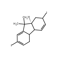 CC1(C)C2=CC(I)=CCC2C2C=CC(I)C[C@@H]21